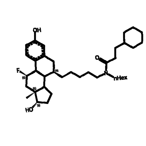 CCCCCCN(CCCCC[C@@H]1Cc2cc(O)ccc2C2C1C1CC[C@H](O)[C@@]1(C)C[C@@H]2F)C(=O)CCC1CCCCC1